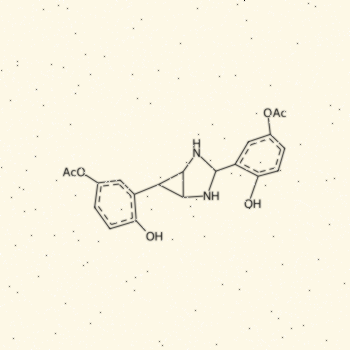 CC(=O)Oc1ccc(O)c(C2NC3C(N2)C3c2cc(OC(C)=O)ccc2O)c1